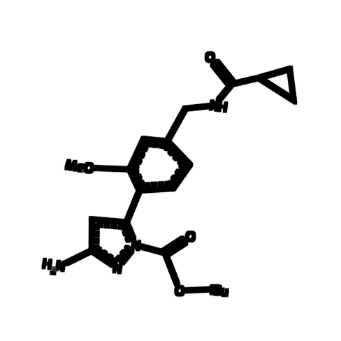 COc1cc(CNC(=O)C2CC2)ccc1-c1cc(N)nn1C(=O)OC(C)(C)C